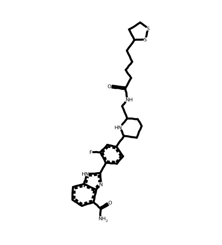 NC(=O)c1cccc2[nH]c(-c3ccc(C4CCCC(CNC(=O)CCCCC5CCSS5)N4)cc3F)nc12